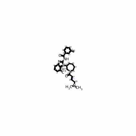 Cc1cccc2nc(NC(=O)c3cccc(F)c3)n(C3CCCCN(C(=O)/C=C/CN(C)C)C3)c12